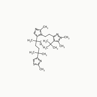 Cc1nc(C(C)(C)CCC(C)(C)c2cnc(C)n2CCc2nn(C)c(C)c2C(C)(C)C)cs1